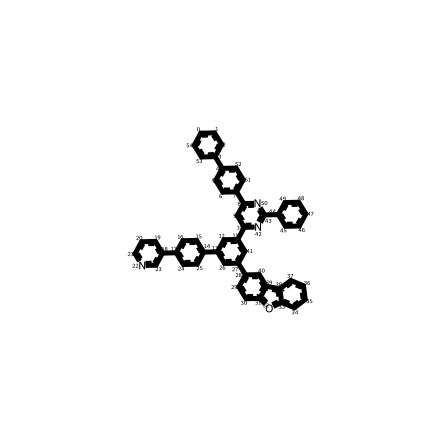 c1ccc(-c2ccc(-c3cc(-c4cc(-c5ccc(-c6cccnc6)cc5)cc(-c5ccc6oc7ccccc7c6c5)c4)nc(-c4ccccc4)n3)cc2)cc1